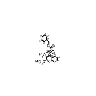 C[C@@H]1[C@H](C(=O)O)Sc2ccccc2N1S(=O)(=O)C(=O)OCc1ccccc1